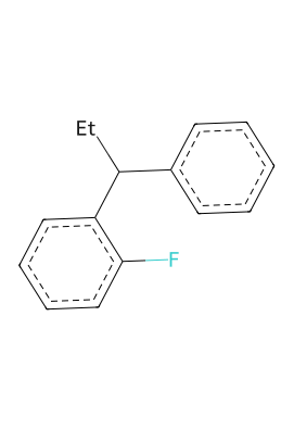 CCC(c1ccccc1)c1ccccc1F